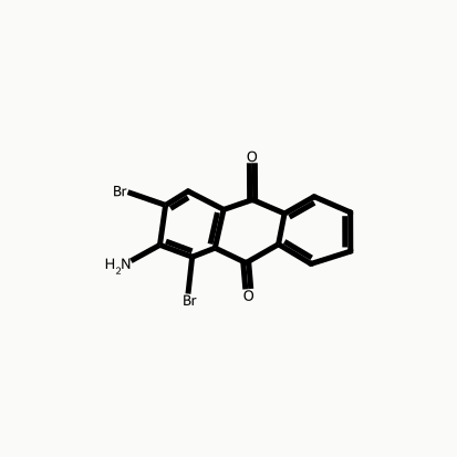 Nc1c(Br)cc2c(c1Br)C(=O)c1ccccc1C2=O